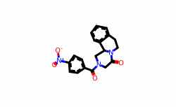 O=C(c1ccc([N+](=O)[O-])cc1)N1CC(=O)N2CCc3ccccc3C2C1